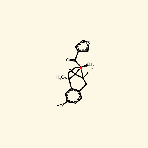 CN1CC[C@]2(C)c3cc(O)ccc3C[C@@H]1[C@H]2N(C)C(=O)c1ccsc1